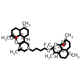 C=CCN(CCCCO[C@@]1(C(F)(F)F)O[C@@H]2O[C@]3(C)CCC4[C@H](C)CC[C@@H]([C@H]1C)[C@]42OO3)CC1=C(C(F)(F)F)O[C@@H]2O[C@]3(C)CCC4[C@H](C)CC[C@@H]1[C@]42O3